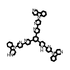 C1=Cc2c(c3c(n2-c2ccc(-c4ccc(-c5cc(C6=CNC(c7ccc(-n8c9ccccc9c9cnccc98)cn7)C=C6)cc(-c6ccc(-c7ccc(-n8c9ccccc9c9cnccc98)cn7)nc6)c5)cn4)nc2)C=CNC3)CC1